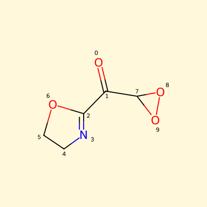 O=C(C1=NCCO1)C1OO1